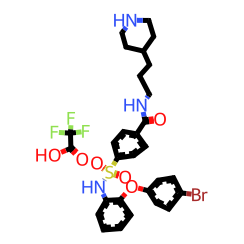 O=C(NCCCC1CCNCC1)c1ccc(S(=O)(=O)Nc2ccccc2Oc2ccc(Br)cc2)cc1.O=C(O)C(F)(F)F